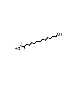 [CH]=CCCCCCCCCCCCC(=O)NO